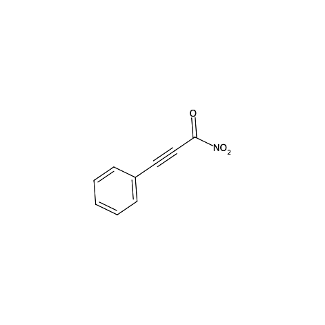 O=C(C#Cc1ccccc1)[N+](=O)[O-]